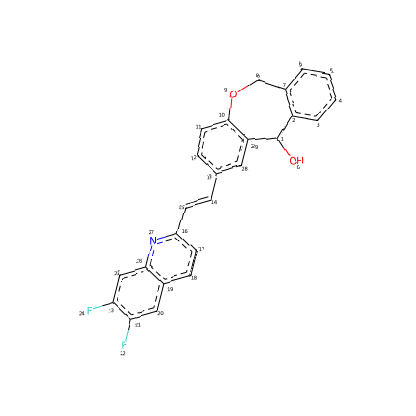 OC1c2ccccc2COc2ccc(/C=C/c3ccc4cc(F)c(F)cc4n3)cc21